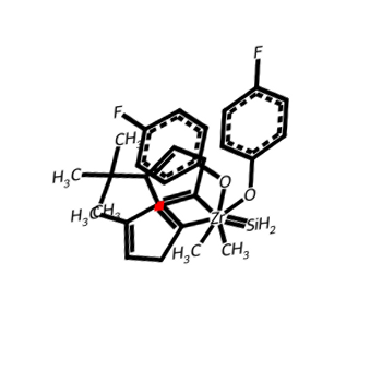 CC1=CC[C]([Zr]([CH3])([CH3])(=[SiH2])([O]c2ccc(F)cc2)([O]c2ccc(F)cc2)[C]2=CC(C(C)(C)C)=CC2)=C1